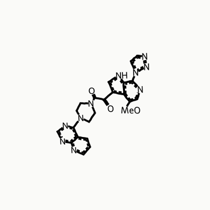 COc1cnc(-n2ccnn2)c2[nH]cc(C(=O)C(=O)N3CCN(c4ncnc5ncccc45)CC3)c12